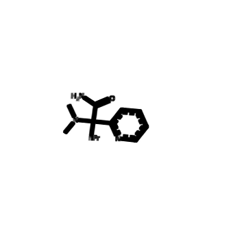 CCCC(C(N)=O)(c1ccccn1)N(C)C